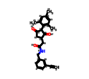 C#Cc1cccc(CNC(=O)CC2CC(=O)C(c3c(C)cc(C)cc3C)C2=O)c1